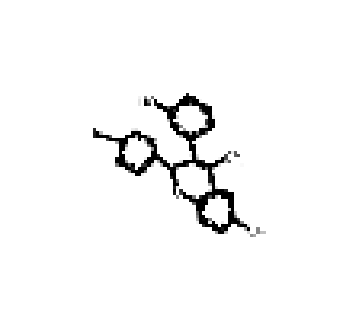 CC1=C(c2cccc(O)c2)C(c2ccc(I)cc2)Oc2ccc(O)cc21